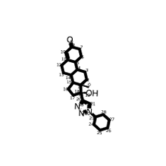 C[C@]12CCC3C4CCC(=O)C=C4CCC3C1CC[C@@]2(O)c1cn(C2CCCCC2)nn1